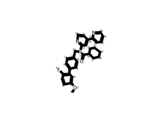 COc1ccc(F)c(-c2ccc(CN(C(=O)C3CCCCC3)c3cc(-c4ccccn4)ccn3)cc2)c1